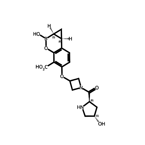 O=C(O)c1c(OC2CN(C(=O)[C@H]3C[C@H](O)CN3)C2)ccc2c1OB(O)[C@H]1C[C@@H]21